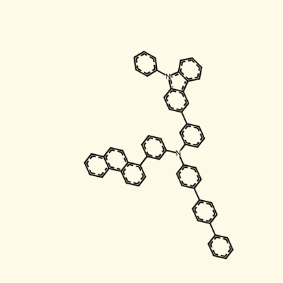 c1ccc(-c2ccc(-c3ccc(N(c4cccc(-c5ccc6c(c5)c5ccccc5n6-c5ccccc5)c4)c4cccc(-c5cccc6c5ccc5ccccc56)c4)cc3)cc2)cc1